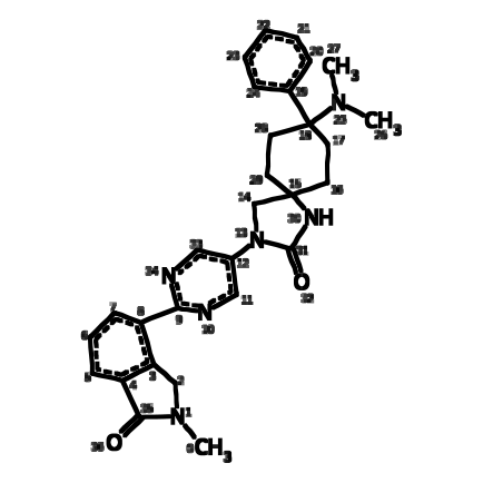 CN1Cc2c(cccc2-c2ncc(N3CC4(CCC(c5ccccc5)(N(C)C)CC4)NC3=O)cn2)C1=O